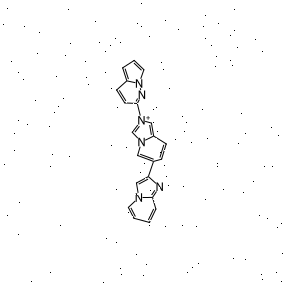 c1ccn2cc(-c3ccc4c[n+](-c5ccc6cccn6n5)cn4c3)nc2c1